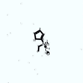 C[CH2][Mn]([CH3])(=[C]=O)[C]1=CC=CC1